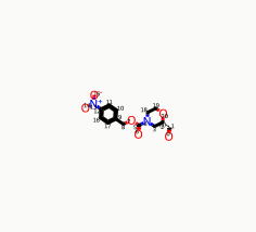 O=C[C@@H]1CN(C(=O)OCc2ccc([N+](=O)[O-])cc2)CCO1